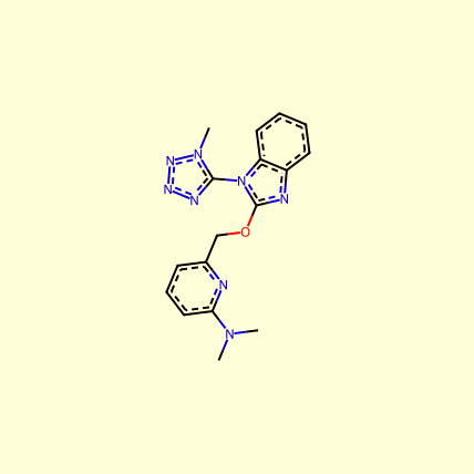 CN(C)c1cccc(COc2nc3ccccc3n2-c2nnnn2C)n1